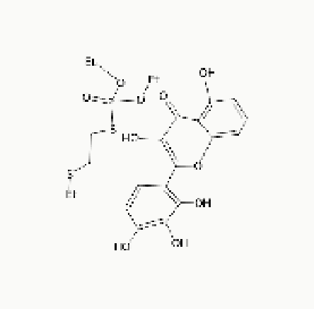 CCOP(=O)(OCC)SCCSCC.O=c1c(O)c(-c2ccc(O)c(O)c2O)oc2cccc(O)c12